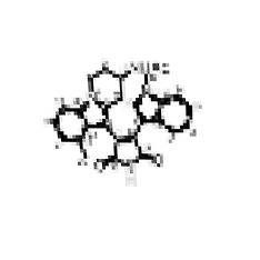 CC(=O)NC1CCn2c(c(C3=C(c4cn(C)c5ccccc45)C(=O)NC3=O)c3c(C)cccc32)C1